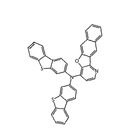 c1ccc2cc3c(cc2c1)oc1c(N(c2ccc4c(c2)sc2ccccc24)c2ccc4c(c2)sc2ccccc24)ccnc13